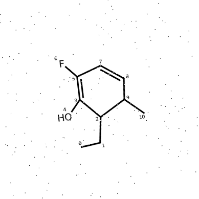 CCC1C(O)=C(F)C=CC1C